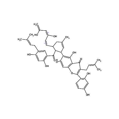 C=C(O)/C=C(O)\C=C/C1CC(C)=CC(c2c(O)cc3oc(-c4ccc(O)cc4O)c(CC=C(C)C)c(=O)c3c2O)C1C(=O)c1cc(CC=C(C)C)c(O)cc1O